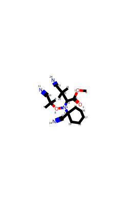 COC(=O)C(N(OC(C)(C)C#N)C1(C#N)CCCCC1)C(C)(C)C#N